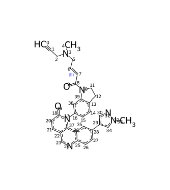 C#CCN(C)C/C=C/C(=O)N1CCc2ccc(-n3c(=O)ccc4cnc5ccc(-c6cnn(C)c6)cc5c43)cc21